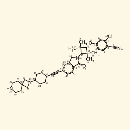 CC1(C)[C@H](Oc2ccc(C#N)c(Cl)c2)C(C)(C)[C@H]1N1Cc2nc(C#CC3CCC(N4CC5(CCNCC5)C4)CC3)ccc2C1=O